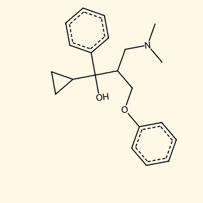 CN(C)CC(COc1ccccc1)C(O)(c1ccccc1)C1CC1